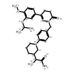 COc1ccc(C2=NN(Cc3ccc(N4CCCC(C(C)C(N)=O)C4)cc3)C(=O)CC2)cc1OC(C)C